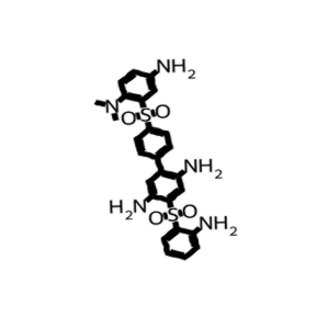 CN(C)c1ccc(N)cc1S(=O)(=O)c1ccc(-c2cc(N)c(S(=O)(=O)c3ccccc3N)cc2N)cc1